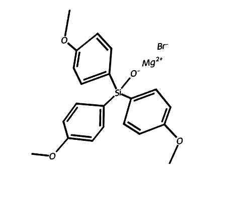 COc1ccc([Si]([O-])(c2ccc(OC)cc2)c2ccc(OC)cc2)cc1.[Br-].[Mg+2]